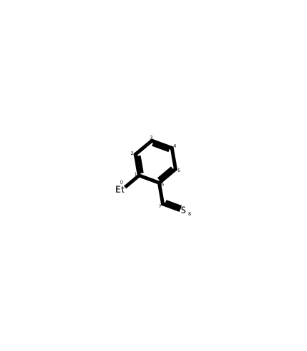 CCc1ccccc1C=S